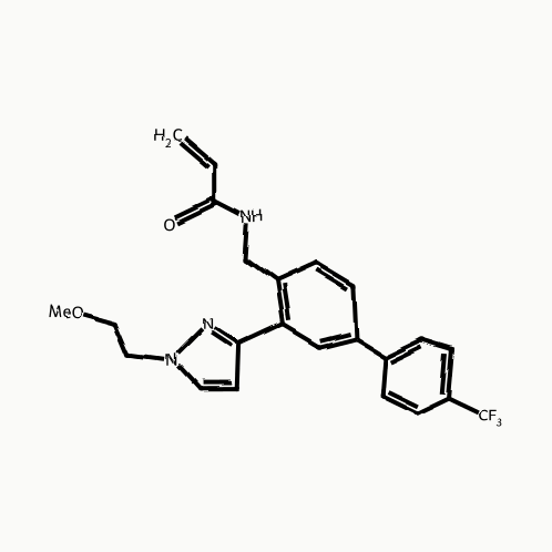 C=CC(=O)NCc1ccc(-c2ccc(C(F)(F)F)cc2)cc1-c1ccn(CCOC)n1